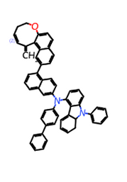 C=C1/C=C\CCOc2ccc3ccc(-c4cccc5cc(N(c6ccc(-c7ccccc7)cc6)c6cccc7c6C6=CC=CCC6N7c6ccccc6)ccc45)cc3c21